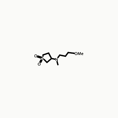 COCCCN(C)C1CCS(=O)(=O)C1